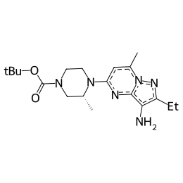 CCc1nn2c(C)cc(N3CCN(C(=O)OC(C)(C)C)C[C@H]3C)nc2c1N